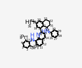 CC(C)c1cccc(C(C)C)c1Nc1cccc2ccc(-c3cccc4c3C(Nc3ccccc3)CCC4)nc12.[CH3][Hf][CH3]